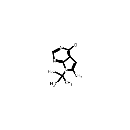 Cc1cc2c(Cl)ncnc2n1C(C)(C)C